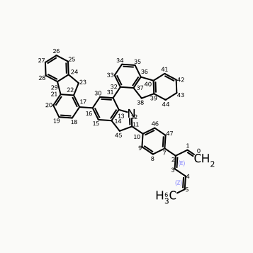 C=C/C(=C\C=C/C)c1ccc(C2=Nc3c(cc(-c4cccc5c4Cc4ccccc4-5)cc3-c3cccc4c3CC3=C4C=CCC3)C2)cc1